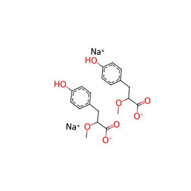 COC(Cc1ccc(O)cc1)C(=O)[O-].COC(Cc1ccc(O)cc1)C(=O)[O-].[Na+].[Na+]